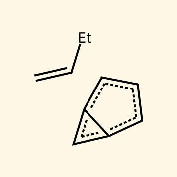 C=CCC.c1cc2cc-2c1